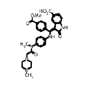 COC(=O)c1ccc(/C(Nc2ccc(N(C)C(=O)CN3CCN(C)CC3)cc2)=C2/C(=O)Nc3ccc(C(=O)O)cc32)cc1